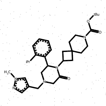 CC(C)c1ccccc1C1CN(Cc2cnn(C)c2)CC(=O)N1C1CC2(CCN(C(=O)OC(C)(C)C)CC2)C1